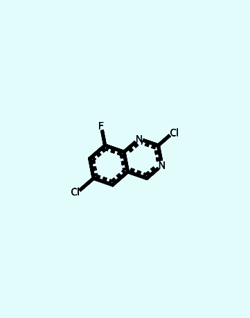 Fc1cc(Cl)cc2cnc(Cl)nc12